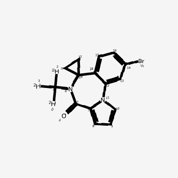 [2H]C([2H])([2H])N1C(=O)c2cccn2-c2cc(Br)ccc2C12CC2